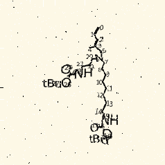 C=C/C=C(\C)CN(CCCCCCCCNC(=O)OC(C)(C)C)CCCNC(=O)OC(C)(C)C